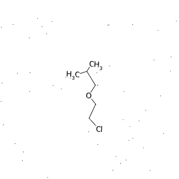 CC(C)[CH]OCCCl